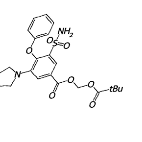 CC(C)(C)C(=O)OCOC(=O)c1cc(N2CCCC2)c(Oc2ccccc2)c(S(N)(=O)=O)c1